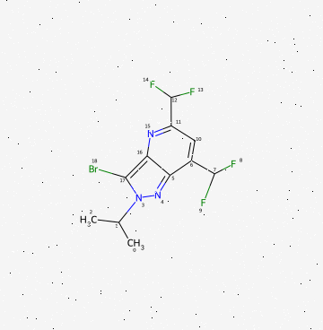 CC(C)n1nc2c(C(F)F)cc(C(F)F)nc2c1Br